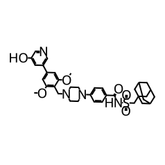 COc1cc(-c2cncc(O)c2)cc(OC)c1CN1CCN(c2ccc(C(=O)NS(=O)(=O)CC34CC5CC(CC(C5)C3)C4)cc2)CC1